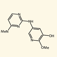 CNc1ccnc(Nc2cnc(OC)c(O)c2)n1